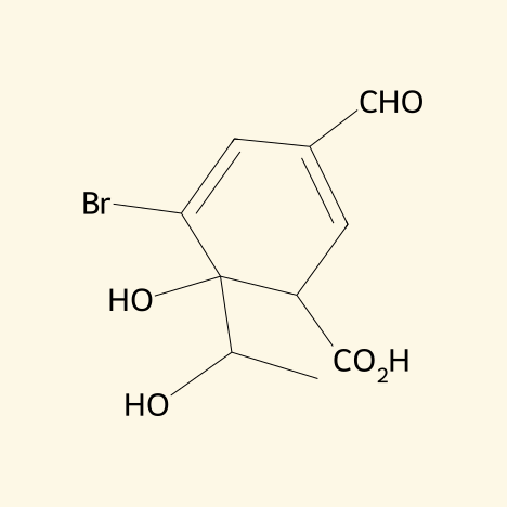 CC(O)C1(O)C(Br)=CC(C=O)=CC1C(=O)O